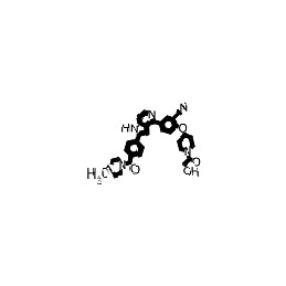 CN1CCN(C(=O)c2ccc(-c3cc4c(-c5ccc(OC6CCN(C(=O)CO)CC6)c(C#N)c5)nccc4[nH]3)cc2)CC1